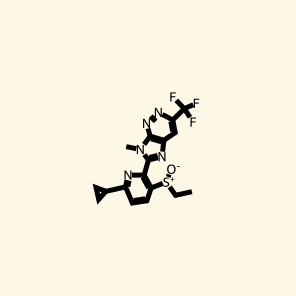 CC[S+]([O-])c1ccc(C2CC2)nc1-c1nc2cc(C(F)(F)F)nnc2n1C